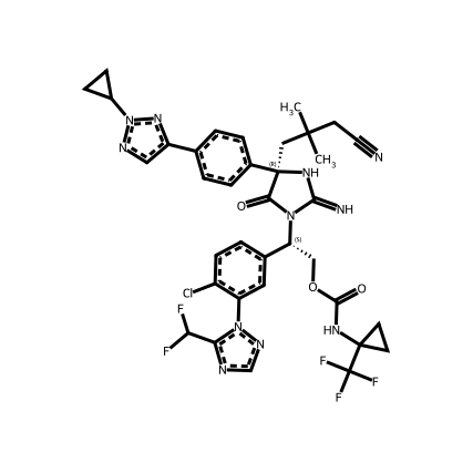 CC(C)(CC#N)C[C@]1(c2ccc(-c3cnn(C4CC4)n3)cc2)NC(=N)N([C@H](COC(=O)NC2(C(F)(F)F)CC2)c2ccc(Cl)c(-n3ncnc3C(F)F)c2)C1=O